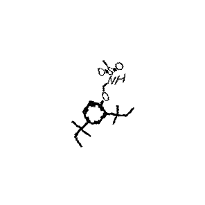 CCC(C)(C)c1ccc(OCNS(C)(=O)=O)c(C(C)(C)CC)c1